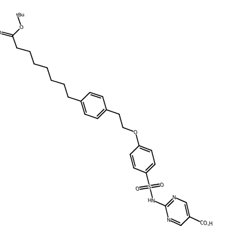 CC(C)(C)OC(=O)CCCCCCCc1ccc(CCOc2ccc(S(=O)(=O)Nc3ncc(C(=O)O)cn3)cc2)cc1